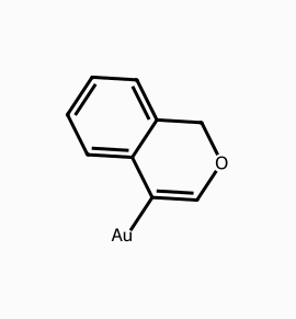 [Au][C]1=COCc2ccccc21